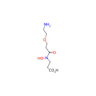 NCCOCCC(=O)N(O)CCC(=O)O